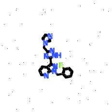 Fc1ccccc1Cn1nc(-c2nc(Cn3ccnc3)n[nH]2)c2cccnc21